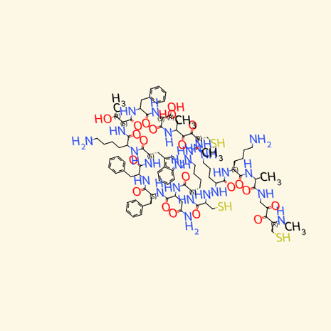 CN[C@@H](CS)C(=O)C(=O)CNC(=O)C(C)NC(=O)[C@H](CCCCN)NC(=O)C(CCCNC(=N)N)NNC(CS)C(=O)N[C@@H](CCCCN)C(=O)NC(CC(N)=O)C(=O)N[C@@H](Cc1ccccc1)C(=O)NC(Cc1ccccc1)C(=O)N[C@@H](Cc1c[nH]c2ccccc12)C(=O)NC(CCCCN)C(=O)N[C@H](C(=O)NC(Cc1ccccc1)C(=O)N[C@H](C(=O)NC(CO)C(=O)C(=O)[C@H](CS)NC)[C@@H](C)O)[C@@H](C)O